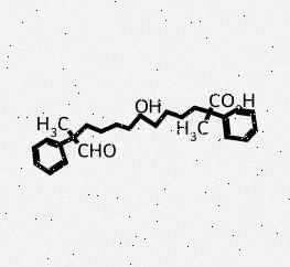 CC(C=O)(CCCCC(O)CCCCC(C)(C(=O)O)c1ccccc1)c1ccccc1